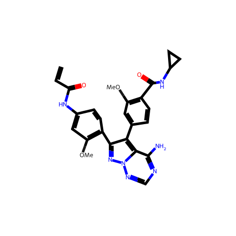 C=CC(=O)Nc1ccc(-c2nn3ncnc(N)c3c2-c2ccc(C(=O)NC3CC3)c(OC)c2)c(OC)c1